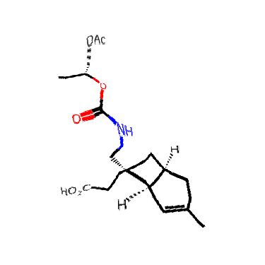 CC(=O)O[C@@H](C)OC(=O)NC[C@]1(CC(=O)O)C[C@H]2CC(C)=C[C@H]21